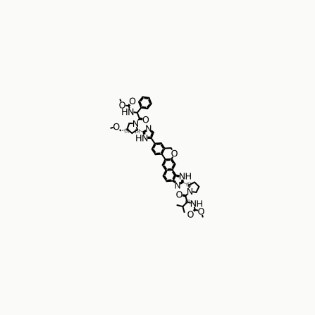 COC[C@H]1C[C@@H](c2ncc(-c3ccc4c(c3)COc3cc5c(ccc6nc([C@@H]7CCCN7C(=O)[C@@H](NC(=O)OC)C(C)C)[nH]c65)cc3-4)[nH]2)N(C(=O)C(NC(=O)OC)c2ccccc2)C1